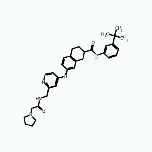 CC(C)(C)c1cccc(NC(=O)C2CCc3ccc(Oc4ccnc(CNC(=O)CN5CCCC5)c4)cc3C2)c1